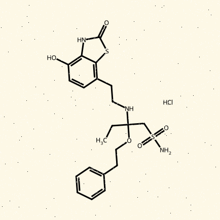 CCC(CS(N)(=O)=O)(NCCc1ccc(O)c2[nH]c(=O)sc12)OCCc1ccccc1.Cl